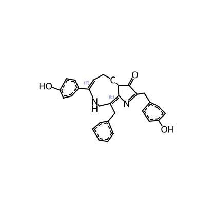 O=C1C(Cc2ccc(O)cc2)=N/C2=C(\Cc3ccccc3)CN/C(c3ccc(O)cc3)=C\CCC12